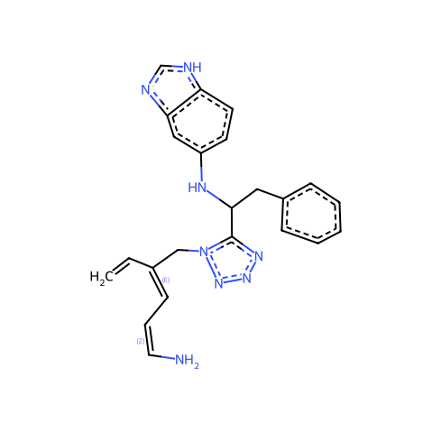 C=C/C(=C\C=C/N)Cn1nnnc1C(Cc1ccccc1)Nc1ccc2[nH]cnc2c1